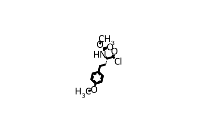 COC(=O)N[C@@H](CCc1ccc(OC)cc1)C(=O)Cl